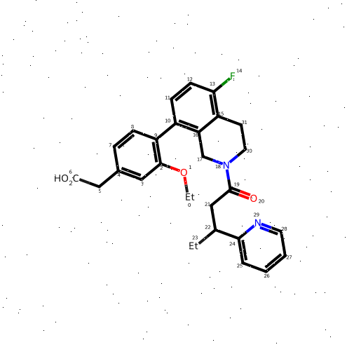 CCOc1cc(CC(=O)O)ccc1-c1ccc(F)c2c1CN(C(=O)CC(CC)c1ccccn1)CC2